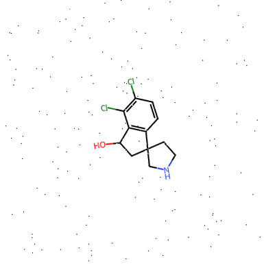 OC1CC2(CCNC2)c2ccc(Cl)c(Cl)c21